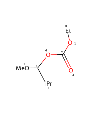 CCOC(=O)OC(OC)C(C)C